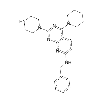 c1ccc(CNc2cnc3c(N4CCCCC4)nc(N4CCNCC4)nc3n2)cc1